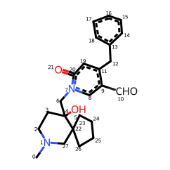 CN1CCC(O)(Cn2cc(C=O)c(Cc3ccccc3)cc2=O)C2(CCCC2)C1